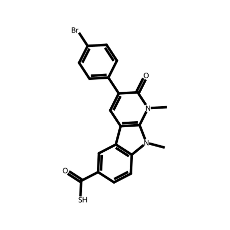 Cn1c(=O)c(-c2ccc(Br)cc2)cc2c3cc(C(=O)S)ccc3n(C)c21